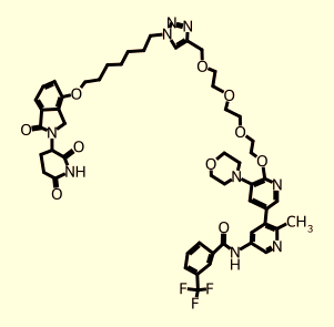 Cc1ncc(NC(=O)c2cccc(C(F)(F)F)c2)cc1-c1cnc(OCCOCCOCCOCc2cn(CCCCCCCOc3cccc4c3CN(C3CCC(=O)NC3=O)C4=O)nn2)c(N2CCOCC2)c1